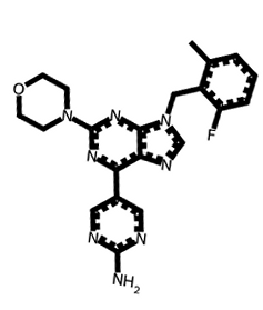 Cc1cccc(F)c1Cn1cnc2c(-c3cnc(N)nc3)nc(N3CCOCC3)nc21